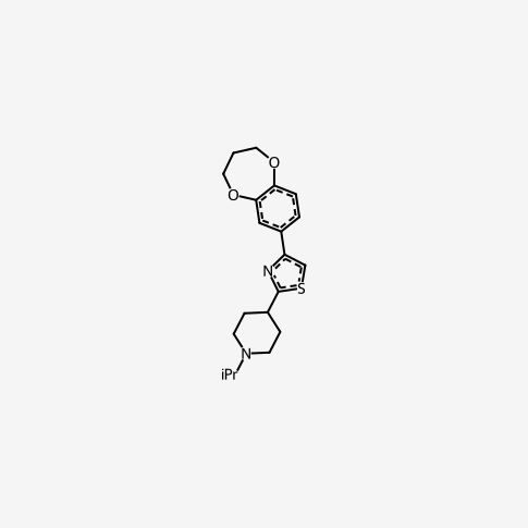 CC(C)N1CCC(c2nc(-c3ccc4c(c3)OCCCO4)cs2)CC1